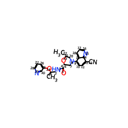 CC(CNC(=O)[C@H]1CN(c2ccc(C#N)c3ncccc23)C[C@@H](C)O1)Oc1cccnc1